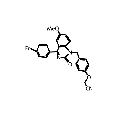 COc1ccc2c(c1)c(-c1ccc(C(C)C)cc1)nc(=O)n2Cc1ccc(OCC#N)cc1